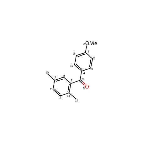 COc1ccc(C(=O)c2cc(C)ccc2C)cc1